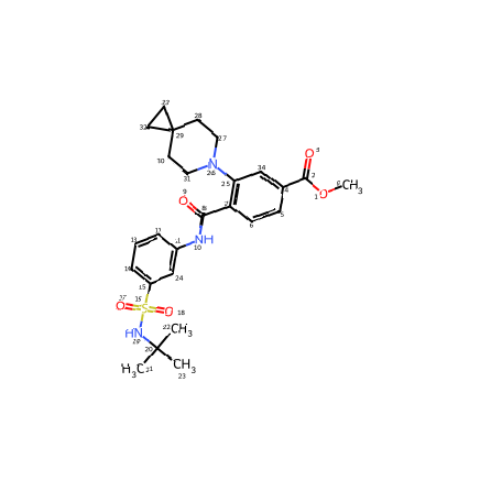 COC(=O)c1ccc(C(=O)Nc2cccc(S(=O)(=O)NC(C)(C)C)c2)c(N2CCC3(CC2)CC3)c1